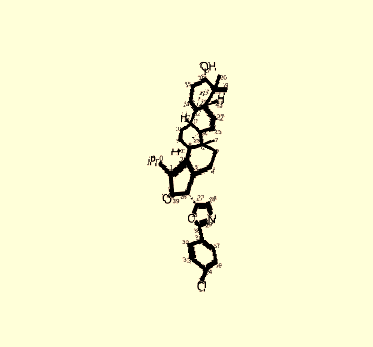 CC(C)C1=C2C(CC[C@]3(C)[C@@H]2CC[C@@H]2[C@@]4(C)CC[C@H](O)C(C)(C)[C@@H]4CC[C@]23C)[C@H](c2cnc(-c3ccc(Cl)cc3)o2)C1=O